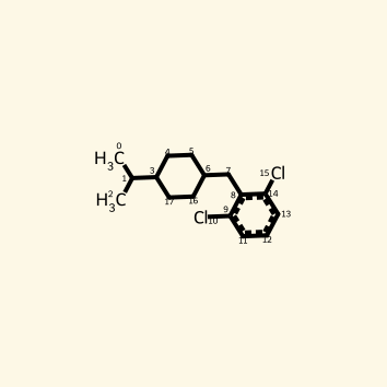 CC(C)C1CCC(Cc2c(Cl)cccc2Cl)CC1